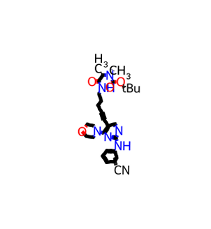 C[C@@H](C(=O)NCCCC#Cc1cnc(Nc2cccc(C#N)c2)nc1N1CCOCC1)N(C)C(=O)OC(C)(C)C